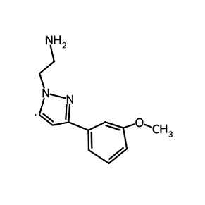 COc1cccc(-c2c[c]n(CCN)n2)c1